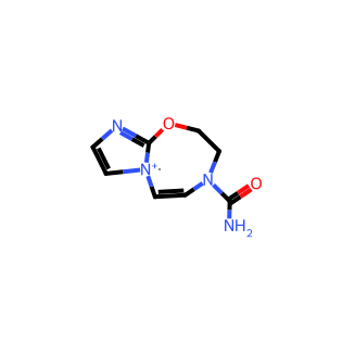 NC(=O)N1C=C[N+]2C=CN=C2OCC1